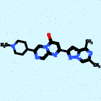 Cc1cn2nc(-c3cc(=O)n4cc(C5CCN(C)CC5)ncc4n3)cc2c(C)n1